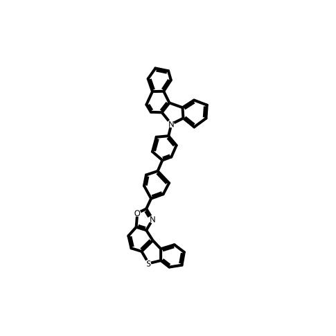 c1ccc2c(c1)ccc1c2c2ccccc2n1-c1ccc(-c2ccc(-c3nc4c(ccc5sc6ccccc6c54)o3)cc2)cc1